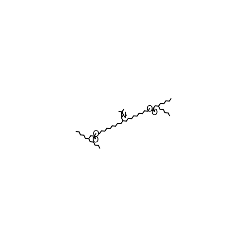 CCCCCC(CCCCC)CC(=O)OCCCCCCCCCC(CCCCCCCCCOC(=O)CC(CCCCC)CCCCC)CN(C)C(C)C